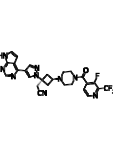 N#CC[C@]1(n2cc(-c3ncnc4[nH]ccc34)cn2)C[C@@H](N2CCN(C(=O)c3ccnc(C(F)(F)F)c3F)CC2)C1